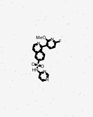 COc1nc(F)ccc1-c1nccc2cc(S(=O)(=O)Nc3ccncn3)ccc12